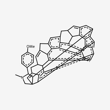 COc1ccc(C2C3c4cc5c6c7c4c4c8c9c%10c%11c%12c%13c%14c%15c(cc%16c%17c(c(c%12c%15%17)c7c4%11)C6C(C=5)C%16)CC%14=CC(CC9=CC83CN2C)C%13%10)cc1